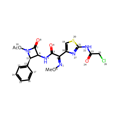 CON=C(C(=O)NC1C(=O)N(OC(C)=O)[C@@H]1c1ccccc1)c1csc(NC(=O)CCl)n1